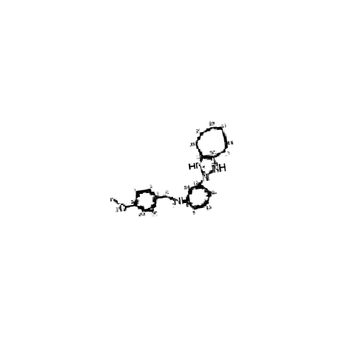 COc1ccc(CNc2cccc(N3NC4=C(CCCCCC4)N3)c2)cc1